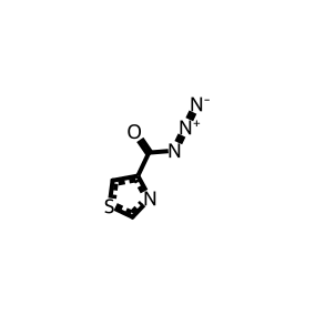 [N-]=[N+]=NC(=O)c1cscn1